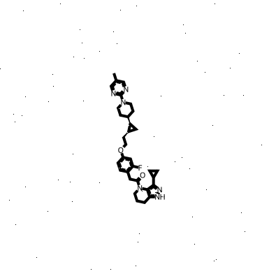 Cc1cnc(N2CCC([C@H]3C[C@H]3CCOc3ccc(CC(=O)N4CCCc5[nH]nc(C6CC6)c54)c(F)c3)CC2)nc1